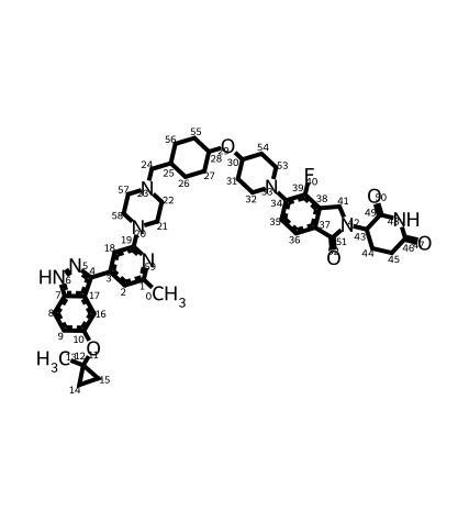 Cc1cc(-c2n[nH]c3ccc(OC4(C)CC4)cc23)cc(N2CCN(CC3CCC(OC4CCN(c5ccc6c(c5F)CN(C5CCC(=O)NC5=O)C6=O)CC4)CC3)CC2)n1